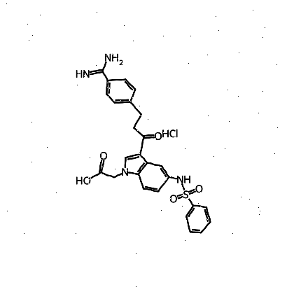 Cl.N=C(N)c1ccc(CCC(=O)c2cn(CC(=O)O)c3ccc(NS(=O)(=O)c4ccccc4)cc23)cc1